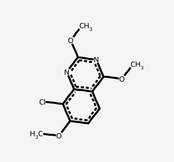 COc1nc(OC)c2ccc(OC)c(Cl)c2n1